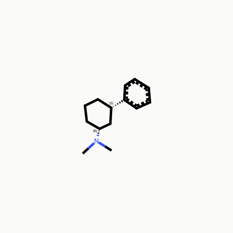 CN(C)[C@@H]1CCC[C@H](c2ccccc2)C1